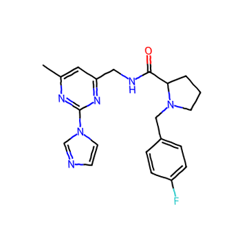 Cc1cc(CNC(=O)C2CCCN2Cc2ccc(F)cc2)nc(-n2ccnc2)n1